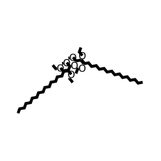 CCCCCCCCCCCCCCCC(OCC)=C(OCC)C(OC)OC(OC)C(OCC)=C(CCCCCCCCCCCCCCC)OCC